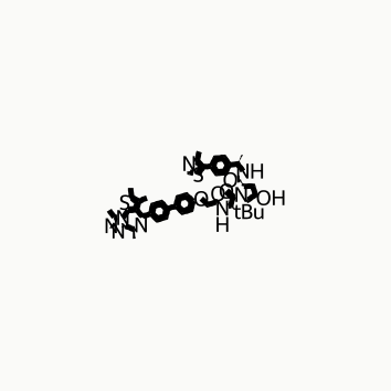 Cc1ncsc1-c1ccc([C@H](C)NC(=O)[C@@H]2C[C@@H](O)CN2C(=O)[C@@H](NC(=O)COc2ccc(-c3ccc(C4=N[C@@H](C)c5nnc(C)n5-c5sc(C)c(C)c54)cc3)cc2)C(C)(C)C)cc1